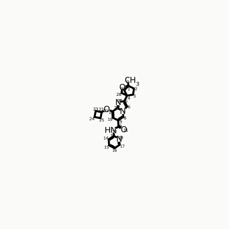 CC12CCC(c3cn4cc(C(=O)Nc5ccccn5)cc(OC5CCC5)c4n3)(CO1)C2